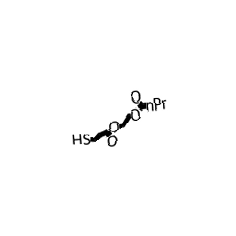 CCCC(=O)OCCOC(=O)CCS